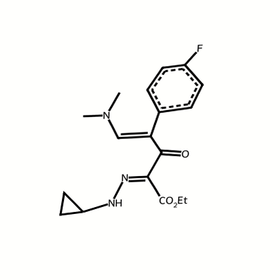 CCOC(=O)C(=NNC1CC1)C(=O)C(=CN(C)C)c1ccc(F)cc1